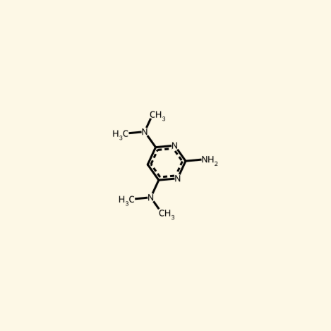 CN(C)c1cc(N(C)C)nc(N)n1